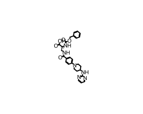 O=C(N[C@@H](CNC(=O)c1ccc(N2CCC(Nc3ncccn3)CC2)cc1)C(=O)O)OCc1ccccc1